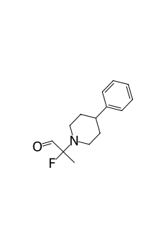 CC(F)(C=O)N1CCC(c2ccccc2)CC1